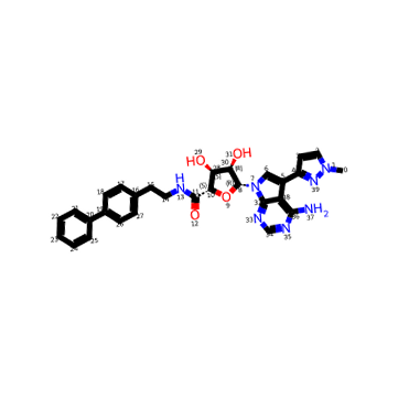 Cn1ccc(-c2cn([C@@H]3O[C@H](C(=O)NCCc4ccc(-c5ccccc5)cc4)[C@@H](O)[C@H]3O)c3ncnc(N)c23)n1